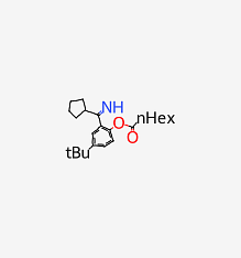 CCCCCCC(=O)Oc1ccc(C(C)(C)C)cc1C(=N)C1CCCC1